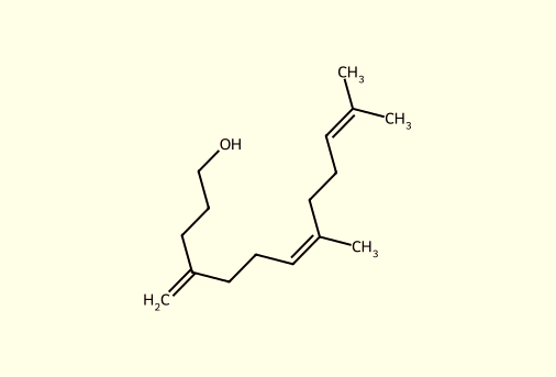 C=C(CCC=C(C)CCC=C(C)C)CCCO